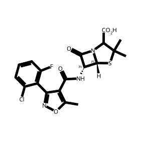 Cc1onc(-c2c(F)cccc2Cl)c1C(=O)N[C@@H]1C(=O)N2C(C(=O)O)C(C)(C)S[C@H]12